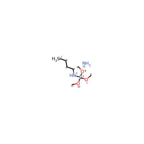 CO[Si](NCCC[SiH3])(OC)OC.N